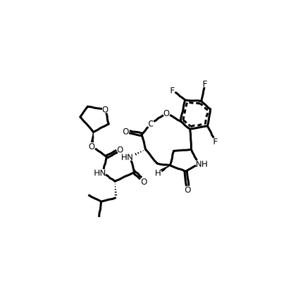 CC(C)C[C@H](NC(=O)O[C@H]1CCOC1)C(=O)N[C@H]1C[C@@H]2CC(NC2=O)c2c(F)cc(F)c(F)c2OCC1=O